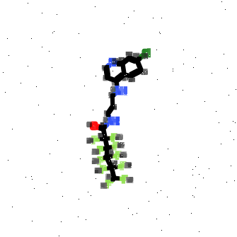 O=C(NCCCNc1ccnc2cc(Cl)ccc12)C(F)(F)C(F)(F)C(F)(F)C(F)(F)C(F)F